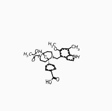 COc1cc(C)c2[nH]ccc2c1CN1CC[C@H]2C[C@]1(c1ccc(C(=O)O)cc1)CCN2S(C)(=O)=O